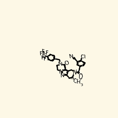 C[C@@H]1Cc2nn3c(c2CN1C(=O)c1ccc(Cl)c(C#N)c1)C(=O)N(Cc1ccc(S(F)(F)(F)(F)F)cc1)CC3